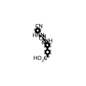 N#Cc1ccc(Nc2nnc(-c3nc4cc(C5CCC(CC(=O)O)CC5)ccc4[nH]3)o2)cc1